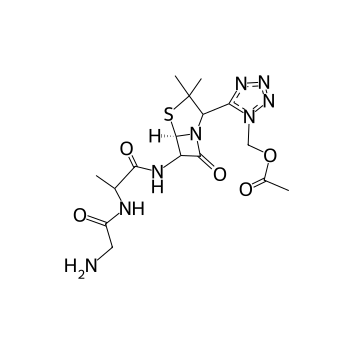 CC(=O)OCn1nnnc1C1N2C(=O)C(NC(=O)C(C)NC(=O)CN)[C@H]2SC1(C)C